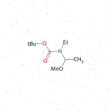 CCN(C(=O)OC(C)(C)C)C(C)OC